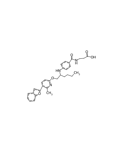 CCCCC(COc1ccc(-c2cc3ccccc3o2)c(C)n1)Nc1ccc(C(=O)NCCC(=O)O)cc1